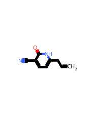 C=CCc1ccc(C#N)c(=O)[nH]1